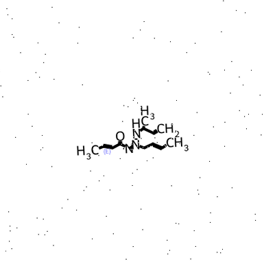 C=CC(C)NN(CC=CC)[N]C(=O)/C=C/C